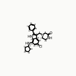 O=C1CN(Cc2c(-c3ccccc3)[nH]c3c(NC4CCCC4)cc(Cl)cc23)CCN1